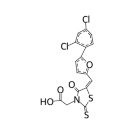 O=C(O)CN1C(=O)/C(=C\c2ccc(-c3ccc(Cl)cc3Cl)o2)SC1=S